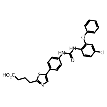 O=C(O)CCCc1ncc(-c2ccc(NC(=O)Nc3ccc(Cl)cc3Oc3ccccc3)cc2)s1